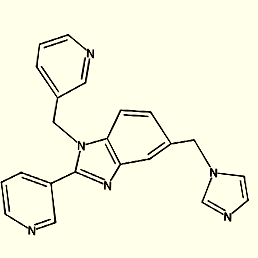 c1cncc(Cn2c(-c3cccnc3)nc3cc(Cn4ccnc4)ccc32)c1